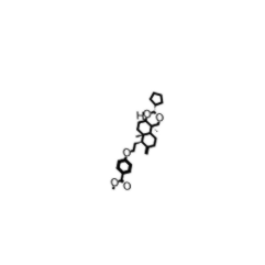 C=C1CCC2[C@]3(C)CO[C@@H](C4CCCC4)O[C@@H]3CC[C@@]2(C)[C@@H]1CCOc1ccc(C(=O)OC)cc1